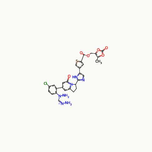 Cc1oc(=O)oc1COC(=O)c1cc(-c2cnc(C3CCc4cc(-c5cc(Cl)ccc5N(N)/C=N\N)cc(=O)n43)[nH]2)cs1